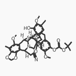 COc1cc2c(cc1OC(=O)OC(C)(C)C)CCN[C@]21CS[C@@H]2c3c(OC)c(C)c4c(c3[C@H](COC1=O)N1C2[C@H]2c3c(cc(C)c(OC)c3O)C[C@H]([C@@H]1C#N)N2C)OCO4